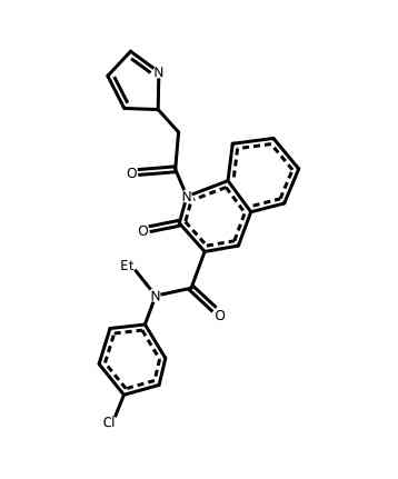 CCN(C(=O)c1cc2ccccc2n(C(=O)CC2C=CC=N2)c1=O)c1ccc(Cl)cc1